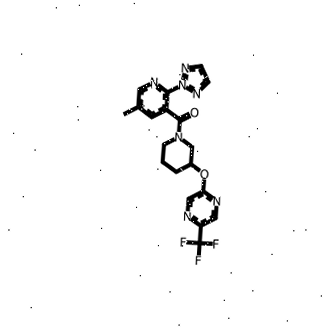 Cc1cnc(-n2nccn2)c(C(=O)N2CCCC(Oc3cnc(C(F)(F)F)cn3)C2)c1